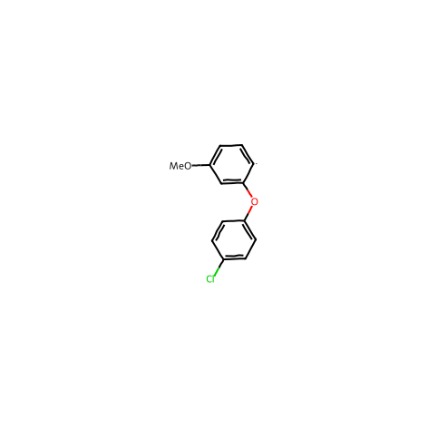 COc1cc[c]c(Oc2ccc(Cl)cc2)c1